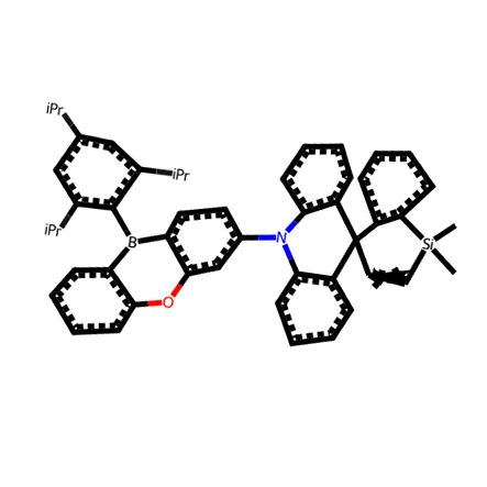 CC(C)c1cc(C(C)C)c(B2c3ccccc3Oc3cc(N4c5ccccc5C5(c6ccccc64)c4ccccc4[Si](C)(C)c4ccccc45)ccc32)c(C(C)C)c1